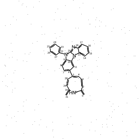 C=c1cccc(-c2ccc3c(c2)n2c4ccccc4nc2n3-c2ccccc2)ccc(=C)[nH]1